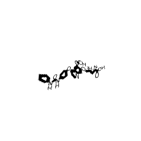 COc1cc2c(Oc3ccc(NC(=O)Nc4ccccc4)cc3)ccnc2cc1OCCC[C@H](N)C(=O)O